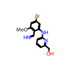 COc1cc(Br)cc(Nc2cccc(CO)n2)c1C=N